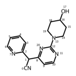 N#CC(c1ccccn1)c1ccnc(N2CCC(O)CC2)n1